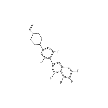 C=CC1CCC(c2cc(F)c(-c3cc(F)c4c(F)c(F)c(F)cc4c3)c(F)c2)CC1